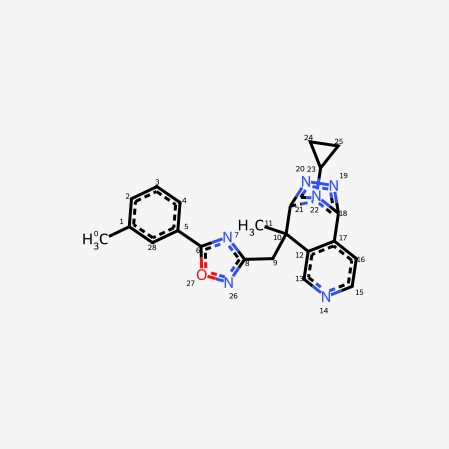 Cc1cccc(-c2nc(CC3(C)c4cnccc4-c4nnc3n4C3CC3)no2)c1